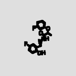 CC(Oc1cccc(F)c1)C(=O)NN=Cc1cc(F)ccc1O